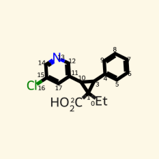 CCC1(C(=O)O)C(c2ccccc2)C1c1cncc(Cl)c1